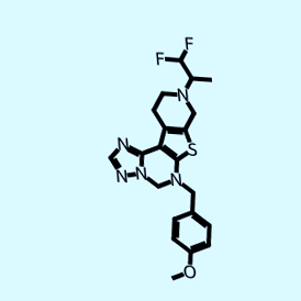 COc1ccc(CN2Cn3ncnc3-c3c2sc2c3CCN(C(C)C(F)F)C2)cc1